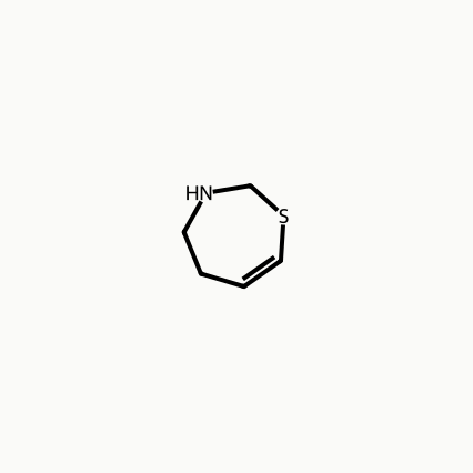 C1=CSCNCC1